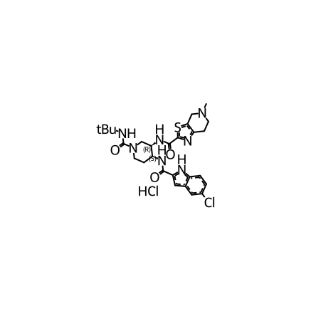 CN1CCc2nc(C(=O)N[C@@H]3CN(C(=O)NC(C)(C)C)CC[C@@H]3NC(=O)c3cc4cc(Cl)ccc4[nH]3)sc2C1.Cl